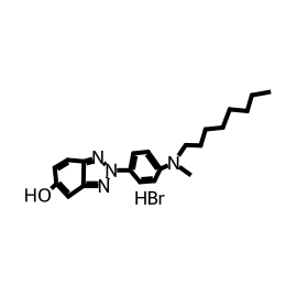 Br.CCCCCCCCN(C)c1ccc(-n2nc3ccc(O)cc3n2)cc1